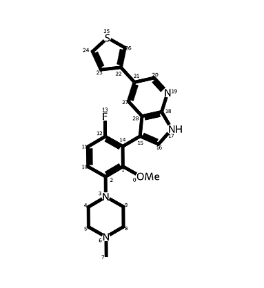 COc1c(N2CCN(C)CC2)ccc(F)c1-c1c[nH]c2ncc(-c3ccsc3)cc12